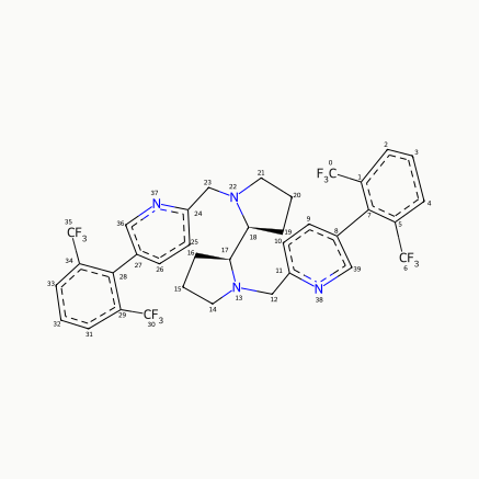 FC(F)(F)c1cccc(C(F)(F)F)c1-c1ccc(CN2CCC[C@H]2[C@@H]2CCCN2Cc2ccc(-c3c(C(F)(F)F)cccc3C(F)(F)F)cn2)nc1